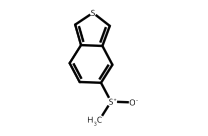 C[S+]([O-])c1ccc2cscc2c1